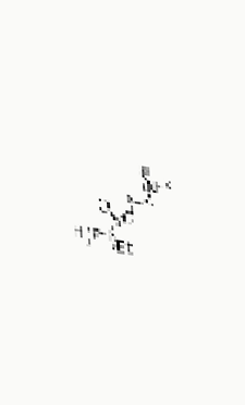 CCC(P)C(=O)OCCN(C)C